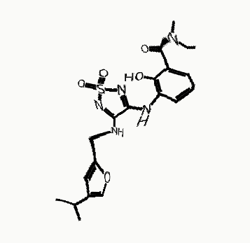 CC(C)c1coc(CNC2=NS(=O)(=O)N=C2Nc2cccc(C(=O)N(C)C)c2O)c1